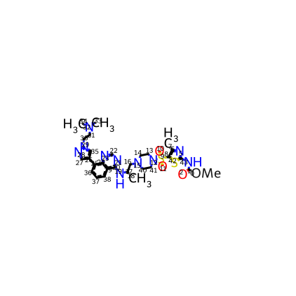 COC(=O)Nc1nc(C)c(S(=O)(=O)N2CCN(CC(C)Nc3ncnc4c(-c5cnn(CCN(C)C)c5)cccc34)CC2)s1